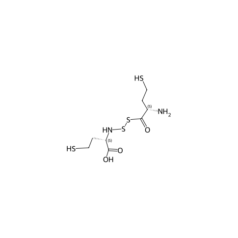 N[C@@H](CCS)C(=O)SSN[C@@H](CCS)C(=O)O